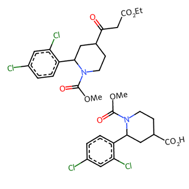 CCOC(=O)CC(=O)C1CCN(C(=O)OC)C(c2ccc(Cl)cc2Cl)C1.COC(=O)N1CCC(C(=O)O)CC1c1ccc(Cl)cc1Cl